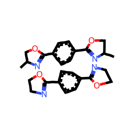 CC1COC(c2ccc(C3=NC(C)CO3)cc2)=N1.c1cc(C2=NCCO2)ccc1C1=NCCO1